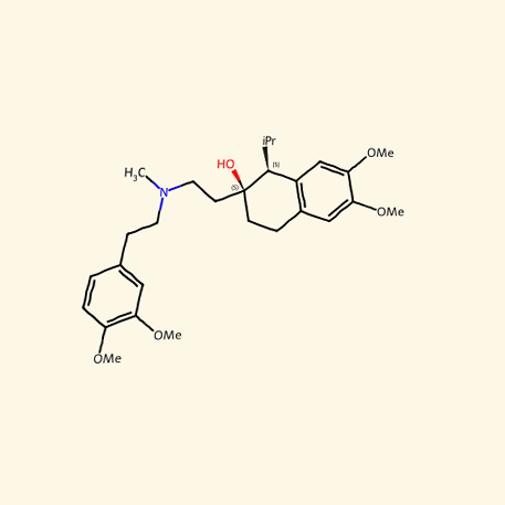 COc1ccc(CCN(C)CC[C@@]2(O)CCc3cc(OC)c(OC)cc3[C@@H]2C(C)C)cc1OC